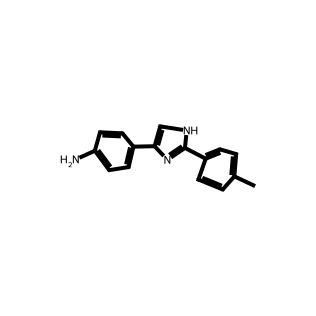 Cc1ccc(-c2nc(-c3ccc(N)cc3)c[nH]2)cc1